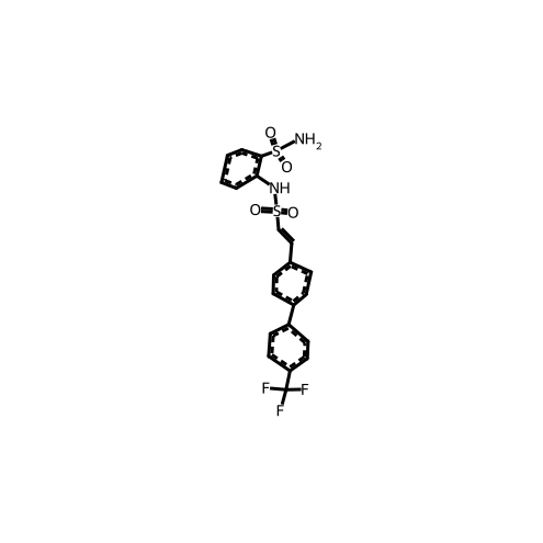 NS(=O)(=O)c1ccccc1NS(=O)(=O)C=Cc1ccc(-c2ccc(C(F)(F)F)cc2)cc1